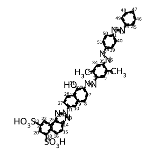 Cc1cc(N=Nc2ccc3cc(-n4nc5ccc6c(S(=O)(=O)O)cc(S(=O)(=O)O)cc6c5n4)ccc3c2O)c(C)cc1N=Nc1ccc(N=Nc2ccccc2)cc1